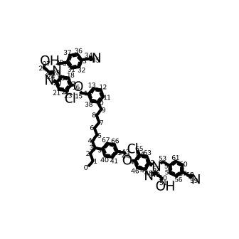 CCCC(CCCCCCc1cccc(COc2cc3c(cc2Cl)nc(CO)n3Cc2ccc(C#N)cc2)c1)c1ccc(COc2cc3nc(CO)n(Cc4ccc(C#N)cc4)c3cc2Cl)cc1